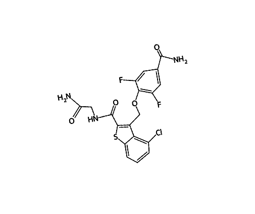 NC(=O)CNC(=O)c1sc2cccc(Cl)c2c1COc1c(F)cc(C(N)=O)cc1F